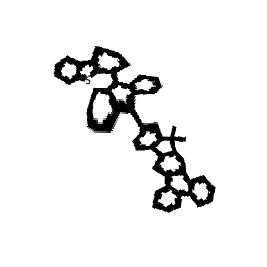 CC1(C)c2cc(-c3c4ccccc4c(-c4cccc5c4sc4ccccc45)c4ccccc34)ccc2-c2cc3c4ccccc4c4ccccc4c3cc21